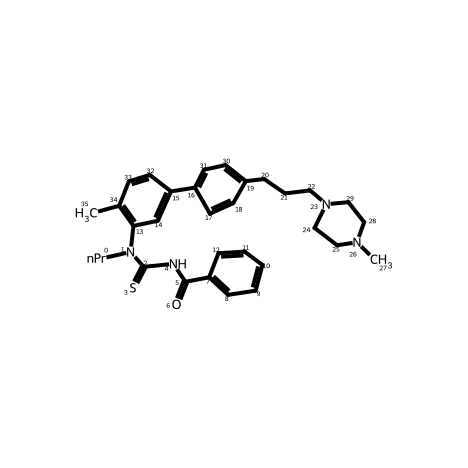 CCCN(C(=S)NC(=O)c1ccccc1)c1cc(-c2ccc(CCCN3CCN(C)CC3)cc2)ccc1C